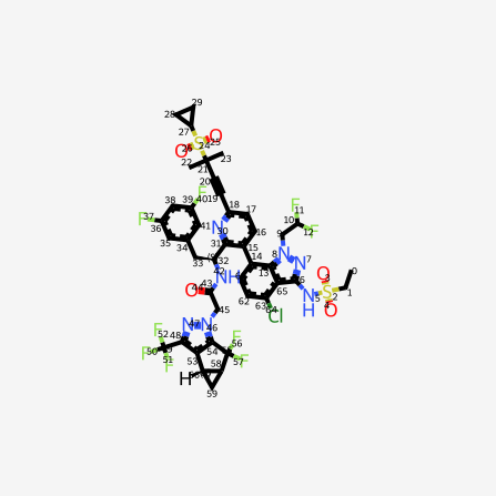 CCS(=O)(=O)Nc1nn(CC(F)F)c2c(-c3ccc(C#CC(C)(C)S(=O)(=O)C4CC4)nc3[C@H](Cc3cc(F)cc(F)c3)NC(=O)Cn3nc(C(F)(F)F)c4c3C(F)(F)C3C[C@H]43)ccc(Cl)c12